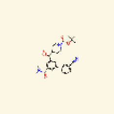 COC(c1cc(C(=O)N(C)C)cc(-c2cccc(C#N)c2)c1)C1CCN(C(=O)OC(C)(C)C)CC1